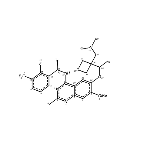 COc1cc2nc(C)nc(N[C@H](C)c3cccc(C(F)(F)F)c3F)c2cc1OC(C)C1(CN(C)C)COC1